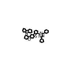 c1ccc(-c2nc(-c3ccccc3)nc(-c3cccc4c3sc3cc5oc6cccc(-n7c8ccccc8c8ccccc87)c6c5cc34)n2)cc1